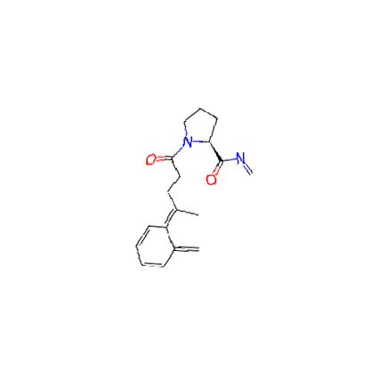 C=NC(=O)[C@@H]1CCCN1C(=O)CC/C(C)=c1\ccccc1=C